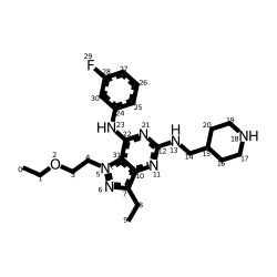 CCOCCn1nc(CC)c2nc(NCC3CCNCC3)nc(Nc3cccc(F)c3)c21